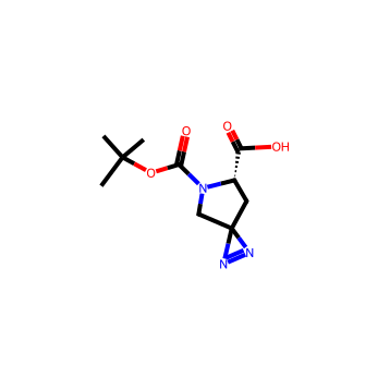 CC(C)(C)OC(=O)N1CC2(C[C@H]1C(=O)O)N=N2